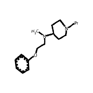 CC(C)N1CCC(N(C)CCOc2ccccc2)CC1